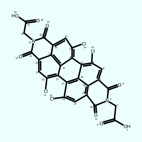 O=C(O)CN1C(=O)c2cc(Cl)c3c4c(Cl)cc5c6c(cc(Cl)c(c7c(Cl)cc(c2c37)C1=O)c64)C(=O)N(CC(=O)O)C5=O